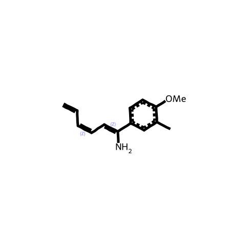 C=C/C=C\C=C(/N)c1ccc(OC)c(C)c1